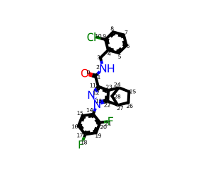 O=C(NCc1ccccc1Cl)c1nn(-c2ccc(F)cc2F)c2c1C1CCC2C1